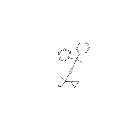 CC(O)(C#C[Si](C)(c1ccccc1)c1ccccc1)C1CC1